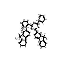 CCC1(C)c2ccccc2-c2ccc3c(oc4cccc(-c5nc(-c6ccc7c(c6)C(C)(C)c6ccccc6-7)nc(-c6ccccn6)n5)c43)c21